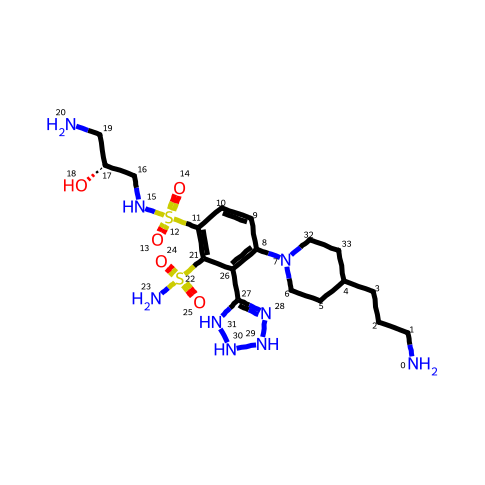 NCCCC1CCN(c2ccc(S(=O)(=O)NC[C@H](O)CN)c(S(N)(=O)=O)c2C2=NNNN2)CC1